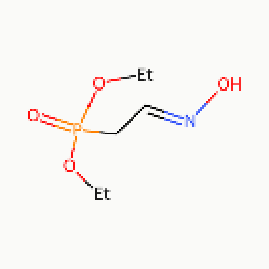 CCOP(=O)(CC=NO)OCC